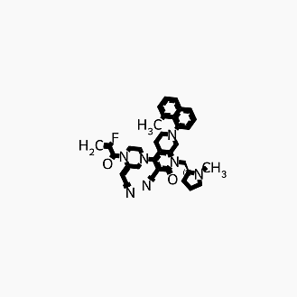 C=C(F)C(=O)N1CCN(c2c3c(n(C[C@@H]4CCCN4C)c(=O)c2C#N)CN(c2cccc4cccc(C)c24)CC3)CC1=CC#N